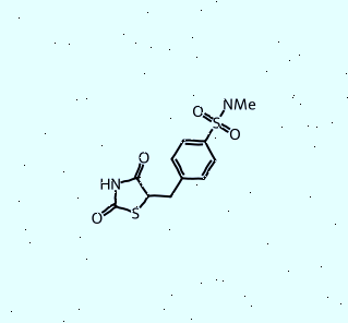 CNS(=O)(=O)c1ccc(CC2SC(=O)NC2=O)cc1